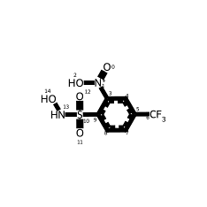 O=[N+](O)c1cc(C(F)(F)F)ccc1S(=O)(=O)NO